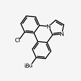 CCC(C)c1ccc2c(c1)c1c(Cl)cccc1n1ccnc21